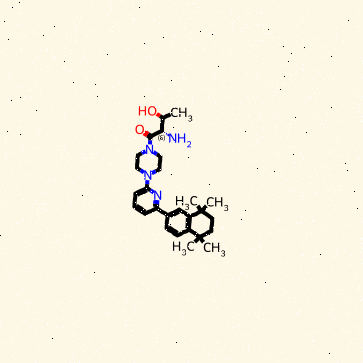 CC(O)[C@H](N)C(=O)N1CCN(c2cccc(-c3ccc4c(c3)C(C)(C)CCC4(C)C)n2)CC1